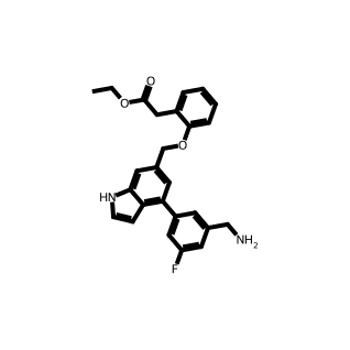 CCOC(=O)Cc1ccccc1OCc1cc(-c2cc(F)cc(CN)c2)c2cc[nH]c2c1